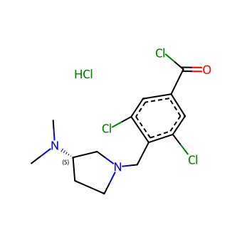 CN(C)[C@H]1CCN(Cc2c(Cl)cc(C(=O)Cl)cc2Cl)C1.Cl